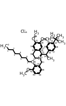 CCCCCCCCOc1c(C[N+]2=C(C(C)c3ccc(C(C)(C)C)cc3)c3cc(OC)c(OC)cc3CC2)cccc1OC.[Cl-]